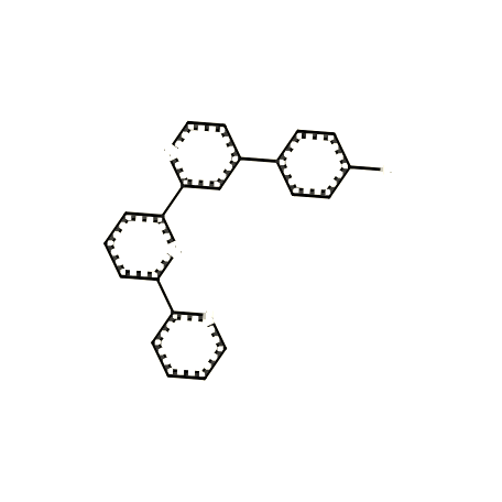 Brc1ccc(-c2ccnc(-c3cccc(-c4ccccn4)n3)c2)cc1